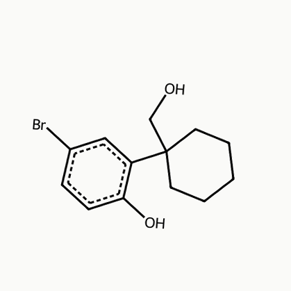 OCC1(c2cc(Br)ccc2O)CCCCC1